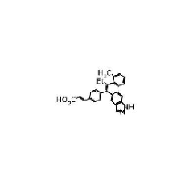 CCC(=C(c1ccc(C=CC(=O)O)cc1)c1ccc2[nH]ncc2c1)c1ccccc1C